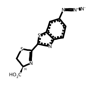 [N-]=[N+]=Nc1ccc2nc(C3=N[C@@H](C(=O)O)CS3)sc2c1